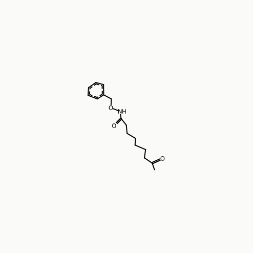 CC(=O)CCCCCCC(=O)NOCc1ccccc1